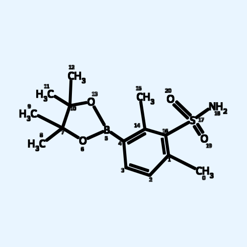 Cc1ccc(B2OC(C)(C)C(C)(C)O2)c(C)c1S(N)(=O)=O